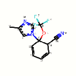 Cc1cn(C2(OC(F)(F)F)C=CC=CC2C#N)cn1